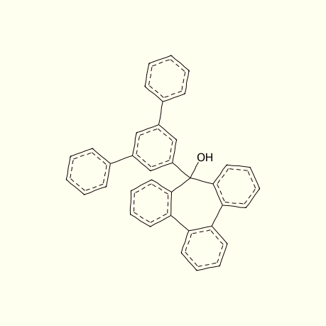 OC1(c2cc(-c3ccccc3)cc(-c3ccccc3)c2)c2ccccc2-c2ccccc2-c2ccccc21